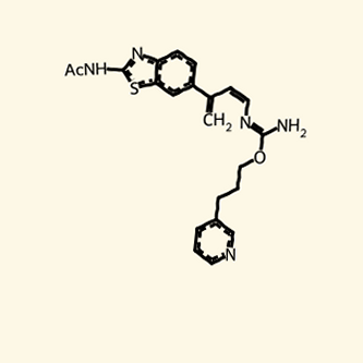 C=C(/C=C\N=C(/N)OCCCc1cccnc1)c1ccc2nc(NC(C)=O)sc2c1